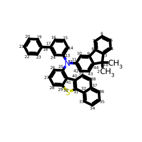 CC1(C)c2ccccc2-c2cc(N(c3cccc(-c4ccccc4)c3)c3cccc4sc5c6ccccc6ccc5c34)ccc21